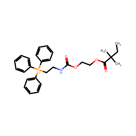 CCC(C)(C)C(=O)OCCOC(=O)NCC[PH](c1ccccc1)(c1ccccc1)c1ccccc1